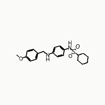 COc1ccc(CNc2ccc(NS(=O)(=O)C3CCCCC3)cc2)cc1